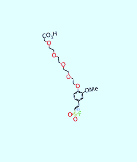 COc1cc(/C=C/S(=O)(=O)F)ccc1OCCOCCOCCOCCOCC(=O)O